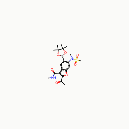 CNC(=O)c1c(C(C)=O)oc2cc(N(C)S(C)(=O)=O)c(B3OC(C)(C)C(C)(C)O3)cc12